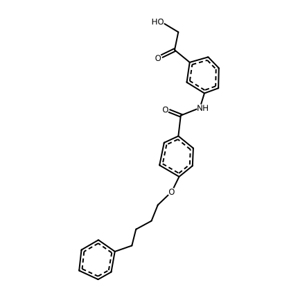 O=C(CO)c1cccc(NC(=O)c2ccc(OCCCCc3ccccc3)cc2)c1